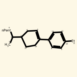 CCCCCC(C)C1CC=C(c2ccc(CC)cc2)CC1